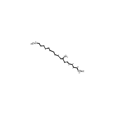 CCCCCCCCCCCCCCCCCCCCC(N)CCCCCCCCCCCCCCCC